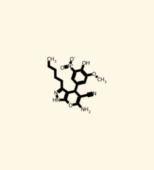 CCCCCc1n[nH]c2c1C(c1cc(OC)c(O)c([N+](=O)[O-])c1)C(C#N)=C(N)O2